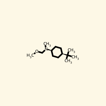 COCN(C)[C@H]1CC[C@@H](C(C)(C)C)CC1